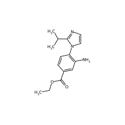 CCOC(=O)c1ccc(-n2ccnc2C(C)C)c(N)c1